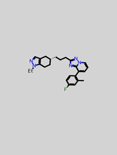 CCn1ncc2c1CC[C@@H](CCCc1nc3c(-c4ccc(F)cc4C)cccn3n1)C2